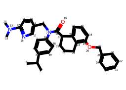 CC(C)c1ccc(N(Cc2ccc(N(C)C)nc2)C(=O)C2CCCc3c(OCc4ccccc4)cccc32)cc1